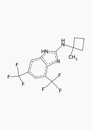 CC1(Nc2nc3c(C(F)(F)F)cc(C(F)(F)F)cc3[nH]2)CCC1